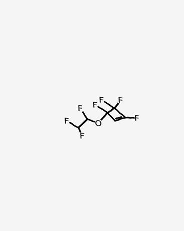 FC1=CC(F)(OC(F)C(F)F)C1(F)F